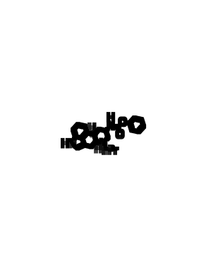 CCCN1CC(NC(=O)Oc2ccccc2)C[C@@H]2c3cccc4[nH]cc(c34)C[C@H]21